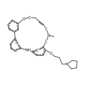 CN1C/C=C/CCOc2cccc(c2)-c2ccnc(n2)Nc2ccc(OCCCN3CCCC3)c(c2)C1